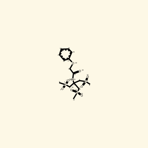 CS(=O)(=O)CC(CS(C)(=O)=O)(CS(C)(=O)=O)NC(=O)COc1ccccc1